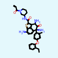 C=CC(=O)N1CCCC(NC(=O)c2sc3c(N)ccc4c3c2C(N)C(=O)C4(N)c2ccc(Oc3ccccc3CC)cc2C)C1